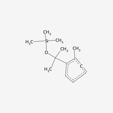 Cc1ccccc1C(C)(C)O[Si](C)(C)C